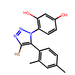 Cc1ccc(-c2c(S)nnn2-c2ccc(O)cc2O)c(C)c1